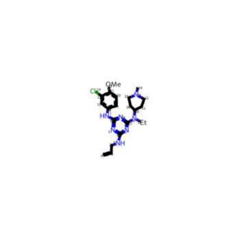 C=CCNc1nc(Nc2ccc(OC)c(Cl)c2)nc(N(CC)C2CCN(C)CC2)n1